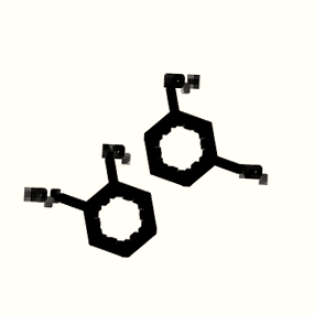 O=[N+]([O-])c1cccc(S(=O)(=O)O)c1.O=[N+]([O-])c1ccccc1S(=O)(=O)O